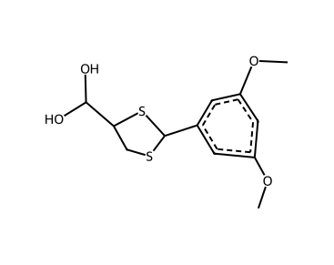 COc1cc(OC)cc(C2SCC(C(O)O)S2)c1